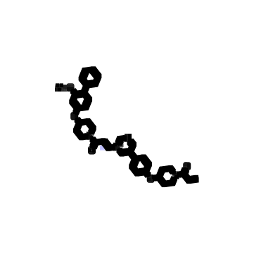 C=CC(=O)N1CCC(Oc2ccc(-c3cnc[n+](/C=C/C(=O)N4CCC(Oc5ccc(-c6ccccc6)c(OC)c5)CC4)c3)cc2)CC1